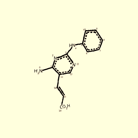 Nc1nc(Nc2ccccc2)ncc1/C=C/C(=O)O